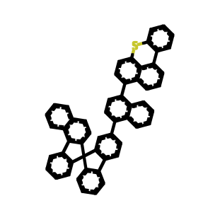 c1ccc2c(c1)Sc1ccc(-c3ccc(-c4ccc5c(c4)C4(c6ccccc6-5)c5ccccc5-c5c4ccc4ccccc54)c4ccccc34)c3cccc-2c13